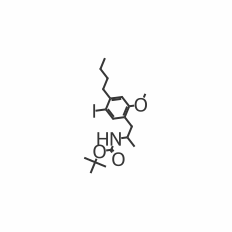 CCCCc1cc(OC)c(CC(C)NC(=O)OC(C)(C)C)cc1I